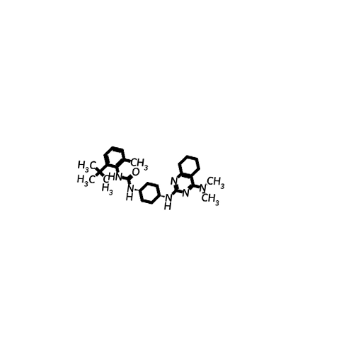 Cc1cccc(C(C)(C)C)c1NC(=O)N[C@H]1CC[C@@H](Nc2nc3c(c(N(C)C)n2)CCCC3)CC1